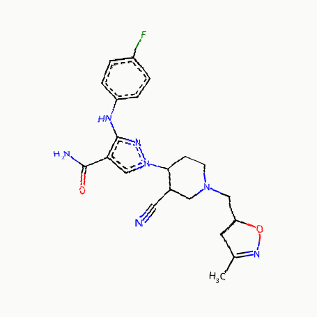 CC1=NOC(CN2CCC(n3cc(C(N)=O)c(Nc4ccc(F)cc4)n3)C(C#N)C2)C1